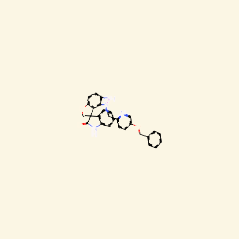 O=C1Nc2ccccc2C12COc1ccc3c(c12)N(Cc1ccc(OCc2ccccc2)cn1)ON3